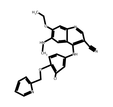 CCOc1cc2ncc(C#N)c(Nc3ccc(OCc4ccccn4)c(Cl)c3)c2cc1NC